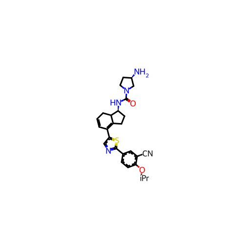 CC(C)Oc1ccc(-c2ncc(C3=C4CC[C@H](NC(=O)N5CC[C@@H](N)C5)C4CC=C3)s2)cc1C#N